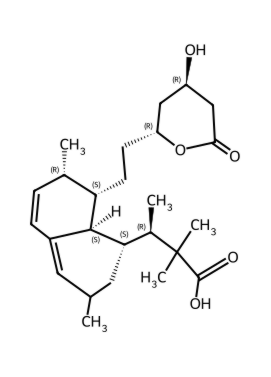 CC1C=C2C=C[C@H](C)[C@H](CC[C@@H]3C[C@@H](O)CC(=O)O3)[C@H]2[C@H]([C@@H](C)C(C)(C)C(=O)O)C1